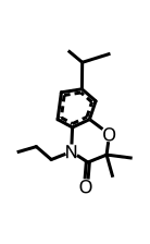 CCCN1C(=O)C(C)(C)Oc2cc(C(C)C)ccc21